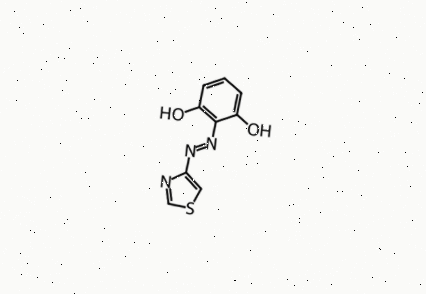 Oc1cccc(O)c1N=Nc1cscn1